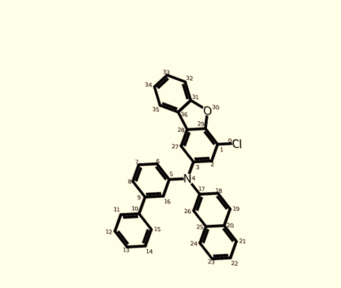 Clc1cc(N(c2cccc(-c3ccccc3)c2)c2ccc3ccccc3c2)cc2c1oc1ccccc12